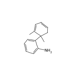 CC1=CC=CCC1(C)c1ccccc1N